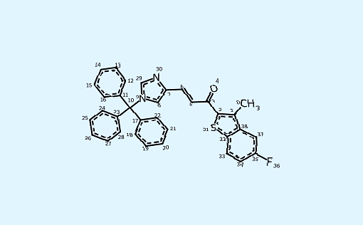 Cc1c(C(=O)C=Cc2cn(C(c3ccccc3)(c3ccccc3)c3ccccc3)cn2)sc2ccc(F)cc12